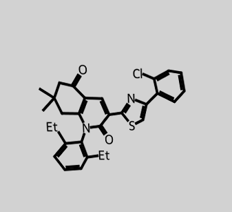 CCc1cccc(CC)c1-n1c2c(cc(-c3nc(-c4ccccc4Cl)cs3)c1=O)C(=O)CC(C)(C)C2